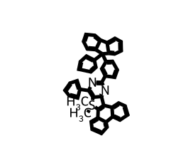 CS1(C)c2c(-c3ccccc3)nc(-c3cccc(C4(c5ccccc5)c5ccccc5-c5ccccc54)c3)nc2-c2c1c1ccccc1c1ccccc21